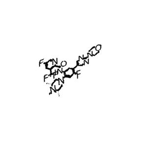 C[C@@H]1CN(c2cc(F)c(-c3cnc(N4CCOCC4)nc3)cc2NC(=O)c2ncc(F)cc2C(F)F)C[C@H](C)N1C